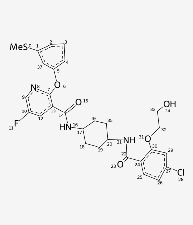 CSc1cccc(Oc2ncc(F)cc2C(=O)NC2CCC(NC(=O)c3ccc(Cl)cc3OCCO)CC2)c1